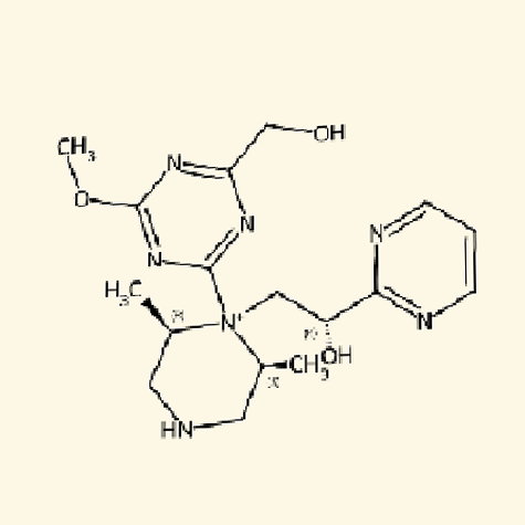 COc1nc(CO)nc([N+]2(C[C@@H](O)c3ncccn3)[C@H](C)CNC[C@@H]2C)n1